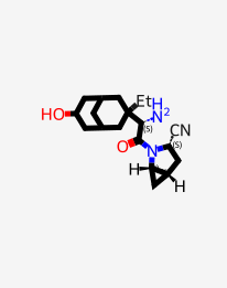 CCC1([C@H](N)C(=O)N2[C@H](C#N)C[C@@H]3C[C@@H]32)CC2CC(O)CC(C2)C1